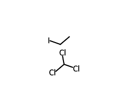 CCI.ClC(Cl)Cl